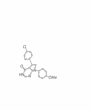 COc1ccc(-n2cc(-c3ccc(Cl)cc3)c3c(=O)[nH]cnc32)cc1